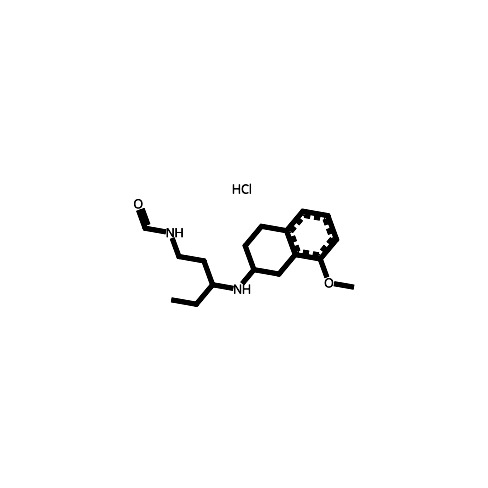 CCC(CCNC=O)NC1CCc2cccc(OC)c2C1.Cl